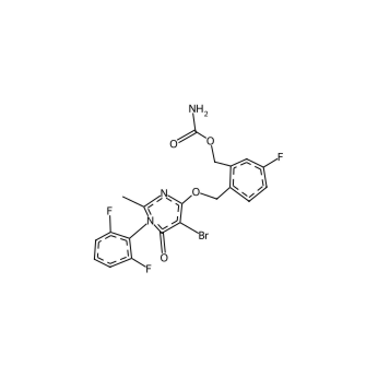 Cc1nc(OCc2ccc(F)cc2COC(N)=O)c(Br)c(=O)n1-c1c(F)cccc1F